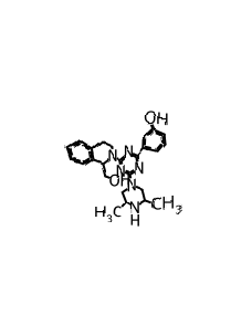 CC1CN(c2nc(-c3cccc(O)c3)nc(N3CCc4ccccc4C3CO)n2)CC(C)N1